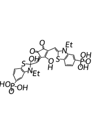 CCN1/C(=C/C2=C(O)C(=C/C3(O)Sc4ccc(P(=O)(O)O)cc4N3CC)/C(=O)C2=O)Sc2ccc(P(=O)(O)O)cc21